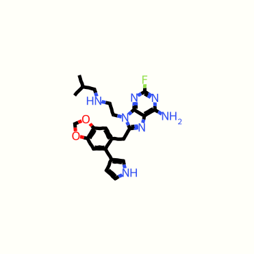 CC(C)CNCCn1c(Cc2cc3c(cc2-c2cc[nH]c2)OCO3)nc2c(N)nc(F)nc21